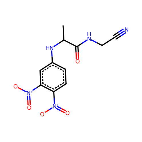 CC(Nc1ccc([N+](=O)[O-])c([N+](=O)[O-])c1)C(=O)NCC#N